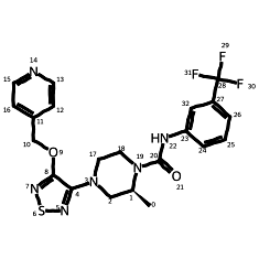 C[C@H]1CN(c2nsnc2OCc2ccncc2)CCN1C(=O)Nc1cccc(C(F)(F)F)c1